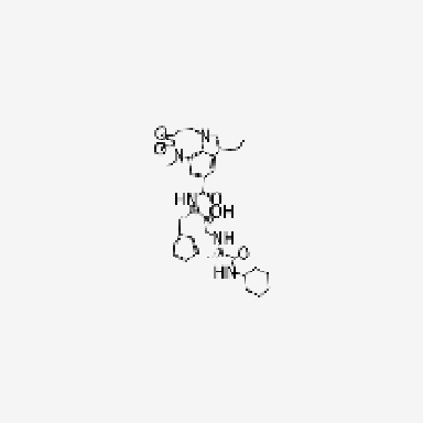 CCc1cn2c3c(cc(C(=O)N[C@@H](Cc4ccccc4)[C@H](O)CN[C@@H](C)C(=O)NC4CCCCC4)cc13)N(C)S(=O)(=O)CC2